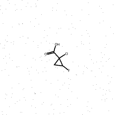 O=C(O)C1(Cl)CC1F